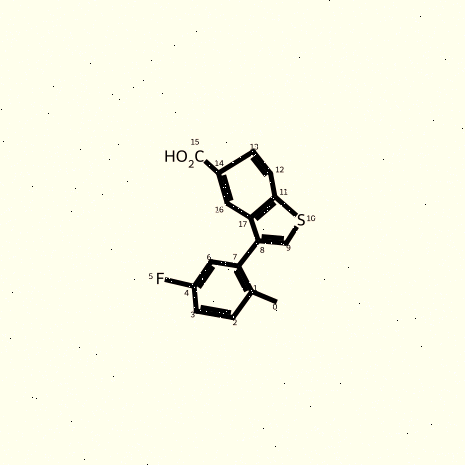 Cc1ccc(F)cc1-c1csc2ccc(C(=O)O)cc12